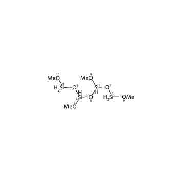 CO[SiH2]O[SiH](OC)O[SiH](OC)O[SiH2]OC